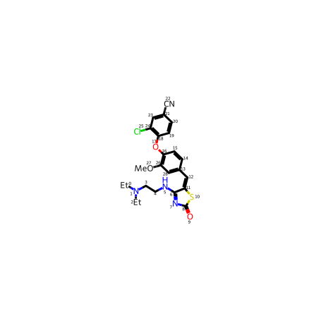 CCN(CC)CCNC1=NC(=O)SC1=Cc1ccc(Oc2ccc(C#N)cc2Cl)c(OC)c1